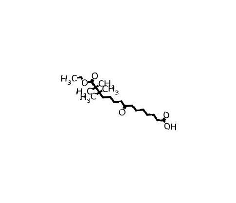 CCOC(=O)C(C)(C)C(C)(C)CCCCC(=O)CCCCCCC(=O)O